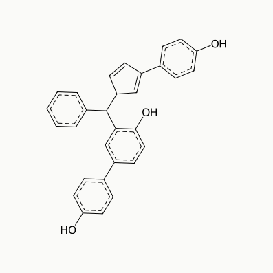 Oc1ccc(C2=CC(C(c3ccccc3)c3cc(-c4ccc(O)cc4)ccc3O)C=C2)cc1